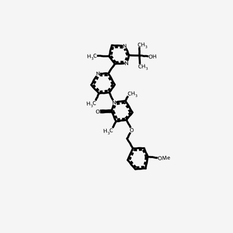 COc1cccc(COc2cc(C)n(-c3cc(-c4nc(C(C)(C)O)ncc4C)ncc3C)c(=O)c2C)c1